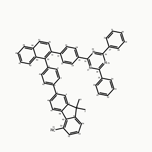 CC1(C)c2cc(-c3ccc(-c4c(-c5ccc(-c6nc(-c7ccccc7)nc(-c7ccccc7)n6)cc5)ccc5ccccc45)cc3)ccc2-c2c(C#N)cccc21